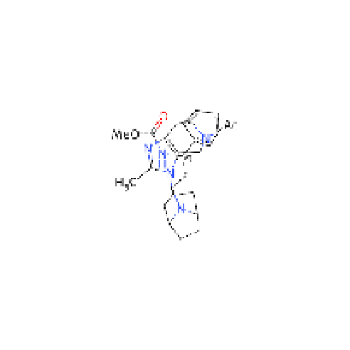 COC(=O)N[C@@H](CCN1C2CCC1CC(n1c(C)nc3c1CN(C(C)=O)CC3)C2)c1ccccc1